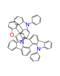 c1ccc(-n2c3ccccc3c3cc(-n4c5ccccc5c5cccc(-c6c(-c7ccc8oc9ccccc9c8c7)ccc7c8ccccc8n(-c8ccccc8)c67)c54)ccc32)cc1